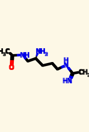 CC(=N)NCCC[C@@H](N)CNC(C)=O